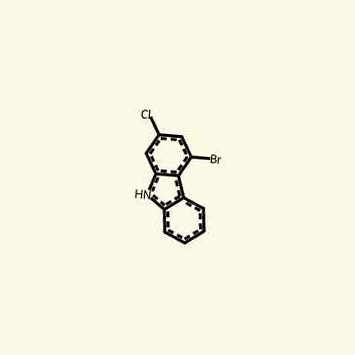 Clc1cc(Br)c2c(c1)[nH]c1ccccc12